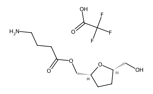 NCCCC(=O)OC[C@H]1CC[C@@H](CO)O1.O=C(O)C(F)(F)F